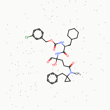 CN(C(=O)CCC(O)(C=O)NC(=O)[C@H](CC1CCCCC1)NC(=O)OCc1cccc(Cl)c1)C1(Cc2ccccc2)CC1